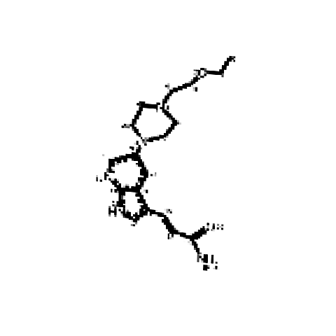 CCOCCN1CCN(c2cnc3[nH]cc(/C=C/C(N)=O)c3c2)CC1